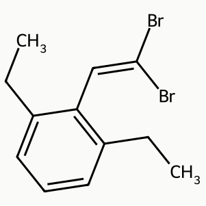 CCc1cccc(CC)c1C=C(Br)Br